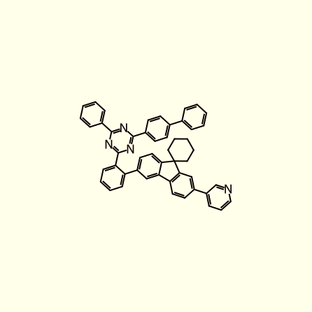 c1ccc(-c2ccc(-c3nc(-c4ccccc4)nc(-c4ccccc4-c4ccc5c(c4)-c4ccc(-c6cccnc6)cc4C54CCCCC4)n3)cc2)cc1